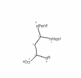 CCCCCCCCC([CH]C(CCCCC)CCCCCCC)CCC